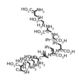 CC(C)C[C@H](N)C(=O)O.CC(C)C[C@H](N)C(=O)O.CC(C)[C@H](N)C(=O)O.C[C@H](N)C(=O)O.C[C@H](N)C(=O)O.NCC(=O)O.NCC(=O)O.NCC(=O)O.NCC(=O)O.N[C@@H](CS)C(=O)O.N[C@@H](CS)C(=O)O.[Cu]